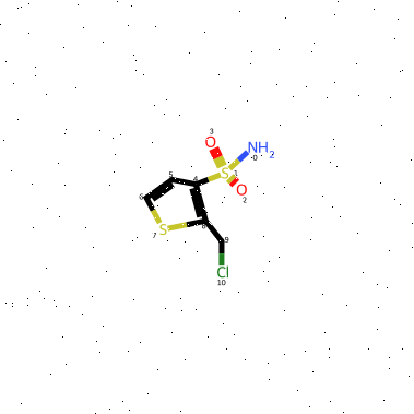 NS(=O)(=O)c1ccsc1CCl